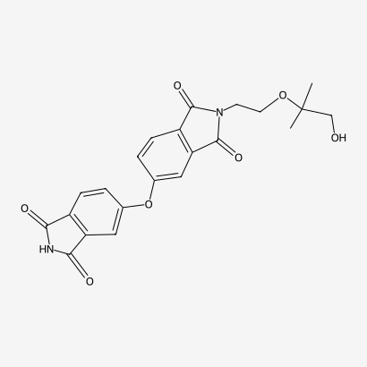 CC(C)(CO)OCCN1C(=O)c2ccc(Oc3ccc4c(c3)C(=O)NC4=O)cc2C1=O